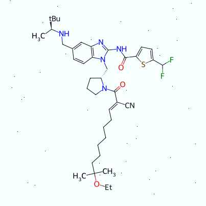 CCOC(C)(C)CCCCCC/C=C(\C#N)C(=O)N1CCC[C@@H]1Cn1c(NC(=O)c2ccc(C(F)F)s2)nc2cc(CN[C@@H](C)C(C)(C)C)ccc21